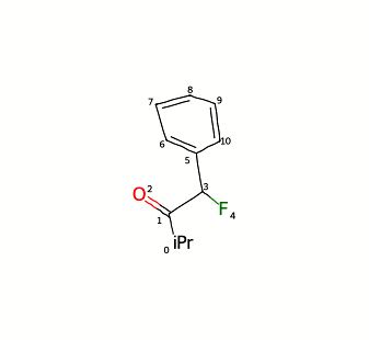 CC(C)C(=O)C(F)c1ccccc1